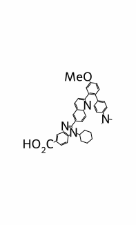 COc1ccc(-c2ccc(N(C)C)cc2)c(-c2ccc3cc(-c4nc5cc(C(=O)O)ccc5n4C4CCCCC4)ccc3n2)c1